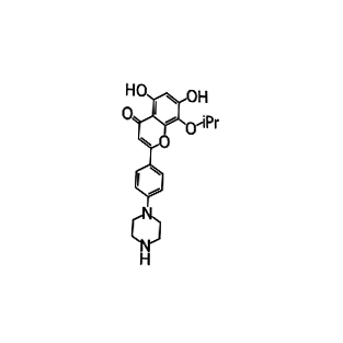 CC(C)Oc1c(O)cc(O)c2c(=O)cc(-c3ccc(N4CCNCC4)cc3)oc12